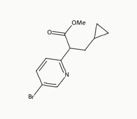 COC(=O)C(CC1CC1)c1ccc(Br)cn1